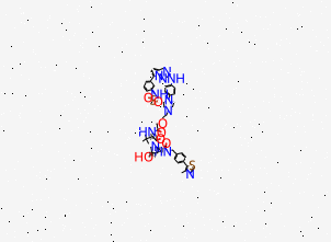 Cc1ncsc1-c1ccc(CNC(=O)[C@@H]2C[C@@H](O)CN2C(=O)[C@@H](NC(=O)COCCN2CCN(c3ccc(Nc4ncc5ccc(-c6cccc(NS(C)(=O)=O)c6)n5n4)cc3)CC2)C(C)(C)C)cc1